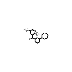 Cc1cnc(N)c(C(=O)c2cccc(N3CCCCCC3)n2)c1